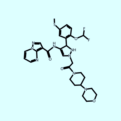 CSc1ccc(OC(F)F)c(C2NN(CC(=O)N3CCC(N4CCOCC4)CC3)C=C2NC(=O)c2cnn3cccnc23)c1